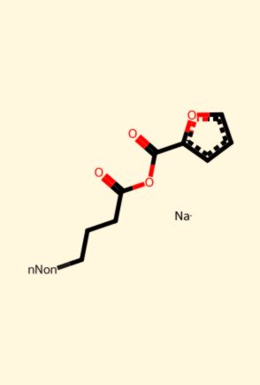 CCCCCCCCCCCCC(=O)OC(=O)c1ccco1.[Na]